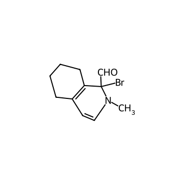 CN1C=CC2=C(CCCC2)C1(Br)C=O